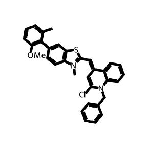 COc1cccc(C)c1-c1ccc2c(c1)sc(C=C1C=C(Cl)N(Cc3ccccc3)c3ccccc31)[n+]2C